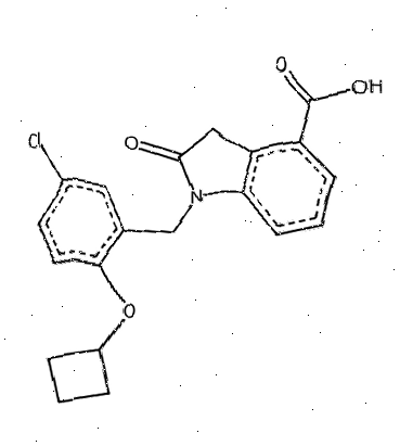 O=C(O)c1cccc2c1CC(=O)N2Cc1cc(Cl)ccc1OC1CCC1